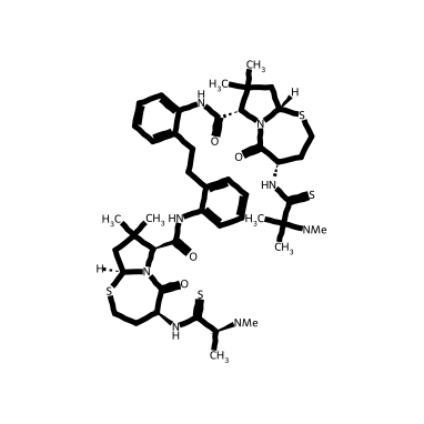 CN[C@@H](C)C(=S)N[C@H]1CCS[C@H]2CC(C)(C)[C@@H](C(=O)Nc3ccccc3CCc3ccccc3NC(=O)[C@H]3N4C(=O)[C@@H](NC(=S)C(C)(C)NC)CCS[C@H]4CC3(C)C)N2C1=O